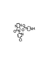 O=C(O[C@H]1c2nccnc2C(=O)N1c1ccc(Cl)cn1)N1CCNCC1